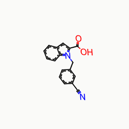 N#Cc1cccc(Cn2c(C(=O)O)cc3ccccc32)c1